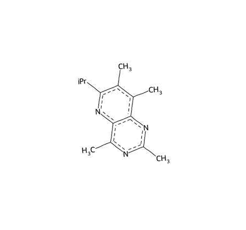 Cc1nc(C)c2nc(C(C)C)c(C)c(C)c2n1